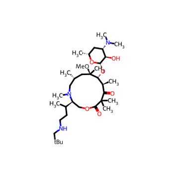 CO[C@]1(C)C[C@@H](C)CN(C)[C@H](C(C)CCNCC(C)(C)C)COC(=O)C(C)(C)C(=O)[C@H](C)[C@H]1O[C@@H]1O[C@H](C)C[C@H](N(C)C)[C@H]1O